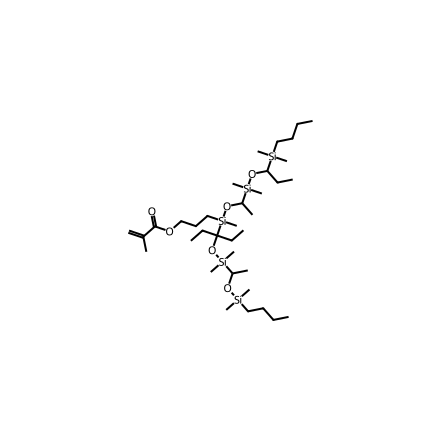 C=C(C)C(=O)OCCC[Si](C)(OC(C)[Si](C)(C)OC(CC)[Si](C)(C)CCCC)C(CC)(CC)O[Si](C)(C)C(C)O[Si](C)(C)CCCC